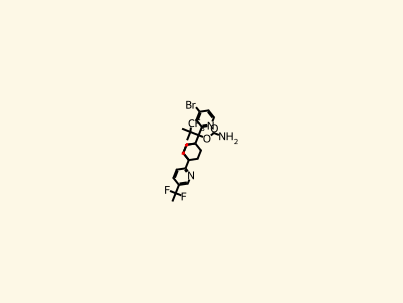 CC(F)(F)c1ccc(C23CCC(C(OC(N)=O)(c4cc(Br)ccn4)C(C)(C)C(F)(F)F)(CC2)CC3)nc1